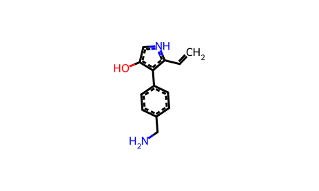 C=Cc1[nH]cc(O)c1-c1ccc(CN)cc1